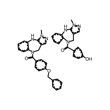 Cn1ncc2c1Nc1ccccc1N(C(=O)c1ccc(O)cc1)C2.Cn1ncc2c1Nc1ccccc1N(C(=O)c1ccc(OCc3ccccc3)cc1)C2